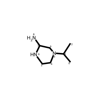 CC(C)N1CCNC(N)C1